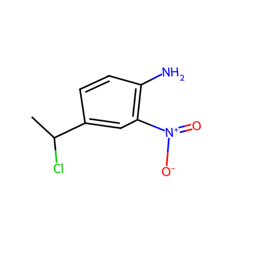 CC(Cl)c1ccc(N)c([N+](=O)[O-])c1